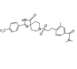 Cc1cc(C(=O)N(C)C)ccc1CCS(=O)(=O)N1CCC2(CC1)N=C(c1ccc(C(F)(F)F)cc1)NC2=O